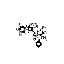 CC(C)OC(=O)[C@@H](C)N[P@@](=O)(OC[C@H]1O[C@@H](n2cc(F)c(=O)[nH]c2=O)[C@](C)(N=[N+]=[N-])[C@@H]1O)Oc1ccccc1